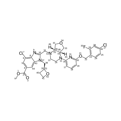 COC(=O)c1cc(Cl)c2nc(CN3CCN(c4cccc(OCc5ccc(Cl)cc5F)n4)[C@H]4COC[C@H]43)n(C[C@@H]3CCO3)c2c1